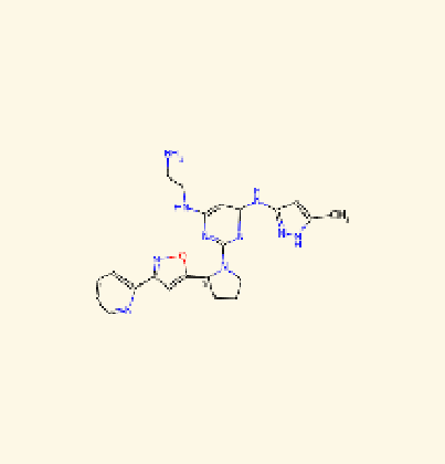 Cc1cc(Nc2cc(NCCN)nc(N3CCC[C@H]3c3cc(-c4ccccn4)no3)n2)n[nH]1